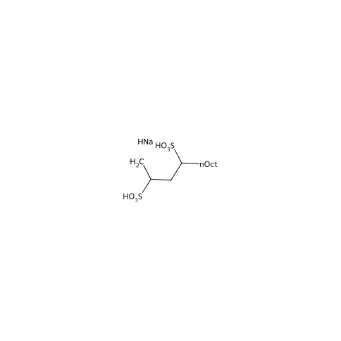 [CH2]C(CC(CCCCCCCC)S(=O)(=O)O)S(=O)(=O)O.[NaH]